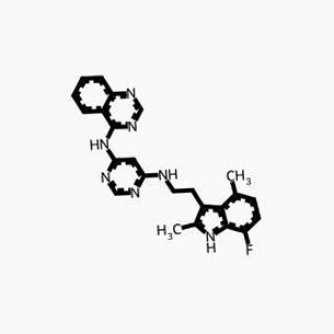 Cc1[nH]c2c(F)ccc(C)c2c1CCNc1cc(Nc2ncnc3ccccc23)ncn1